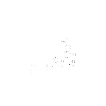 CCC(CC)NC(=O)Nc1cccc(N2C=C(Nc3ccc(C(=O)N4CCOCC4)cn3)C3=NC=C[N+]3C2)c1C